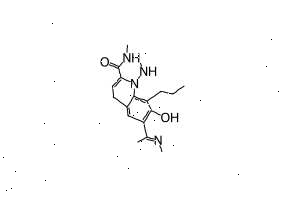 CCCc1c(O)c(C(C)=NC)cc2c1N(NC)C(C(=O)NC)=CC2